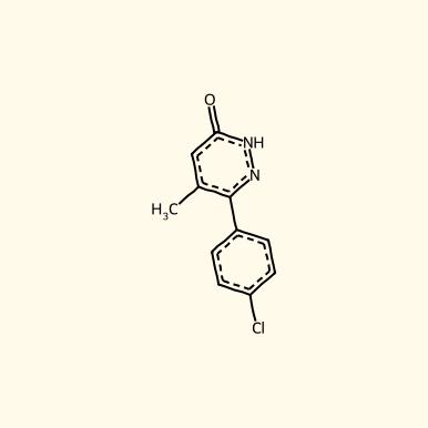 Cc1cc(=O)[nH]nc1-c1ccc(Cl)cc1